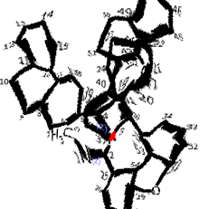 C/N=C(\N=C(/c1ccc2ccc3ccccc3c2c1)C1C=CC=CC1)c1cccc2oc3cccc(-c4cccc5c4sc4c6ccccc6ccc54)c3c12